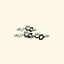 N[C@@H](Cc1c[nH]cn1)C(=O)O.N[C@@H](Cc1c[nH]cn1)C(=O)O.N[C@@H](Cc1ccc(O)cc1)C(=O)O